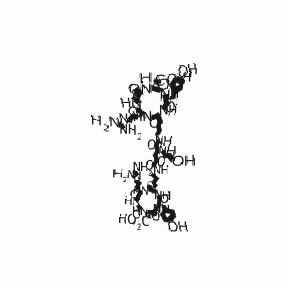 NC(N)=NCCC[C@H]1NC(=O)C(CCCCNC(=O)C(CCC(=O)NCCCC[C@H]2NC(=O)[C@H](Cc3ccc(O)cc3)NC(=O)[C@@H](CC(=O)O)NC(=O)CNC(=O)[C@@H](CCCN=C(N)N)NC2=O)NC(=O)CCO)NC(=O)[C@H](Cc2ccc(O)cc2)NC(=O)[C@@H](CC(=O)O)NC(=O)CNC1=O